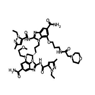 CCn1nc(C)cc1C(=O)Nc1nc2cc(C(N)=O)cc(OCCCNC(=O)CN3CCOCC3)c2n1CCC[C@H]1CN(CCOC)c2cc(C(N)=O)cc3nc(NC(=O)c4cc(C)nn4CC)n1c23